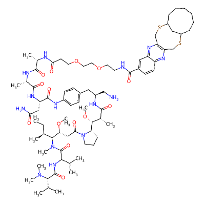 CC[C@H](C)[C@@H]([C@@H](CC(=O)N1CCC[C@H]1[C@H](OC)[C@@H](C)C(=O)N[C@H](CN)Cc1ccc(NC(=O)[C@H](CC(N)=O)NC(=O)[C@H](C)NC(=O)[C@H](C)NC(=O)CCOCCOCCNC(=O)c2ccc3nc4c(nc3c2)CSC2CCCCCCC(C2)SC4)cc1)OC)N(C)C(=O)C(NC(=O)[C@H](C(C)C)N(C)C)C(C)C